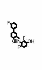 Oc1ccc(F)c(NCc2cc(-c3cccc(F)c3)ccc2Cl)c1F